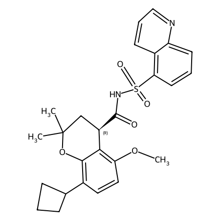 COc1ccc(C2CCC2)c2c1[C@H](C(=O)NS(=O)(=O)c1cccc3ncccc13)CC(C)(C)O2